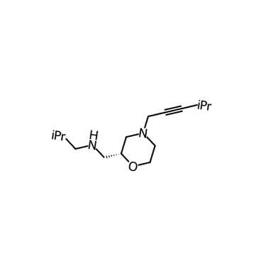 CC(C)C#CCN1CCO[C@H](CNCC(C)C)C1